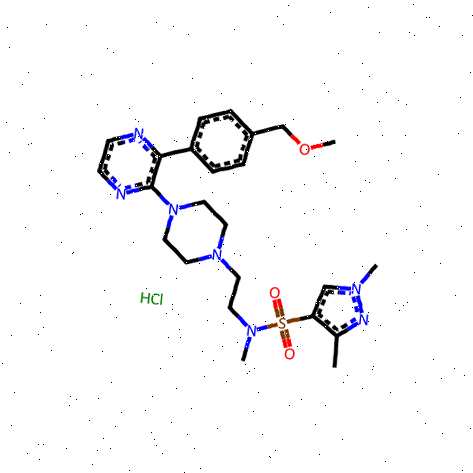 COCc1ccc(-c2nccnc2N2CCN(CCN(C)S(=O)(=O)c3cn(C)nc3C)CC2)cc1.Cl